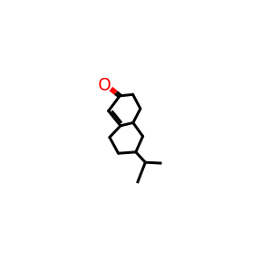 CC(C)C1CCC2=CC(=O)CCC2C1